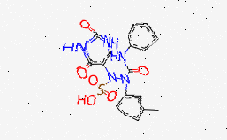 Cc1cccc(N(C(=O)Nc2ccccc2)N(c2c[nH]c(=O)[nH]c2=O)S(=O)(=O)O)c1